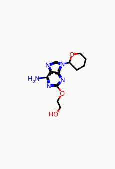 Nc1nc(OCCO)nc2c1ncn2C1CCCCO1